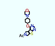 CC(=O)N1Cc2sc3ncnc(O[C@H]4CC[C@H](N5CCOCC5)CC4)c3c2C1